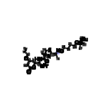 C=CCOc1cc([C@@H](CCC)NC(=O)[C@]2(C)CSC(/C(C)=N/OCCCCO[Si](C)(C)C(C)(C)C)=N2)oc(=O)c1